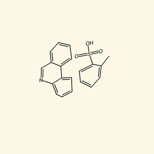 Cc1ccccc1S(=O)(=O)O.c1ccc2c(c1)cnc1ccccc12